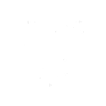 CC1=C/C(=C(\c2cc(C)c(O)c(C=O)c2)c2c(Cl)ccc(S(=O)(=O)O)c2Cl)C=C(C(=O)O)C1=O